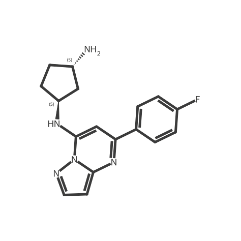 N[C@H]1CC[C@H](Nc2cc(-c3ccc(F)cc3)nc3ccnn23)C1